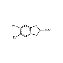 CCc1cc2c(cc1C(C)=O)CC(OC(C)=O)C2